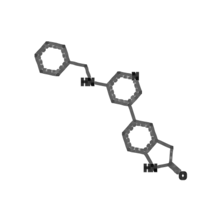 O=C1Cc2cc(-c3cncc(NCc4ccccc4)c3)ccc2N1